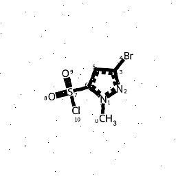 Cn1nc(Br)cc1S(=O)(=O)Cl